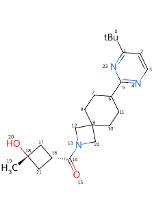 CC(C)(C)c1ccnc(C2CCC3(CC2)CN(C(=O)[C@H]2C[C@@](C)(O)C2)C3)n1